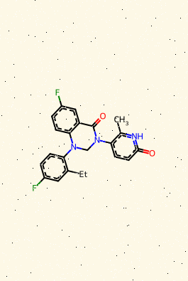 CCc1cc(F)ccc1N1CN(c2ccc(=O)[nH]c2C)C(=O)c2cc(F)ccc21